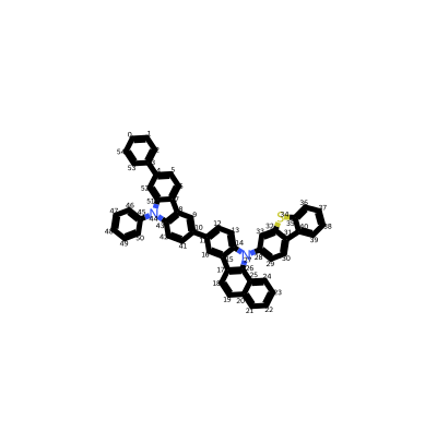 c1ccc(-c2ccc3c4cc(-c5ccc6c(c5)c5ccc7ccccc7c5n6-c5ccc6c(c5)sc5ccccc56)ccc4n(-c4ccccc4)c3c2)cc1